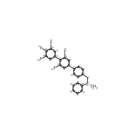 C[C@@H](Cc1ccc(-c2cc(F)c(-c3cc(F)c(F)c(F)c3)c(F)c2)cc1)c1ccccc1